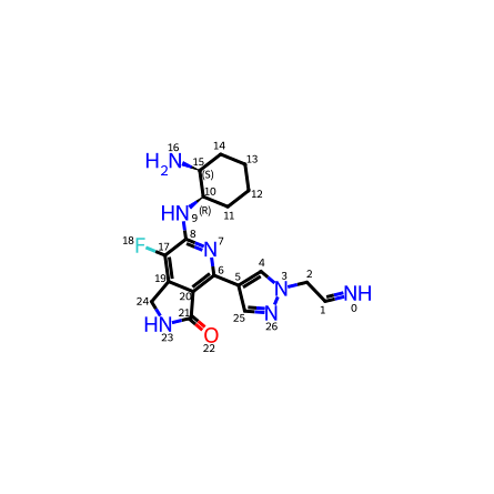 N=CCn1cc(-c2nc(N[C@@H]3CCCC[C@@H]3N)c(F)c3c2C(=O)NC3)cn1